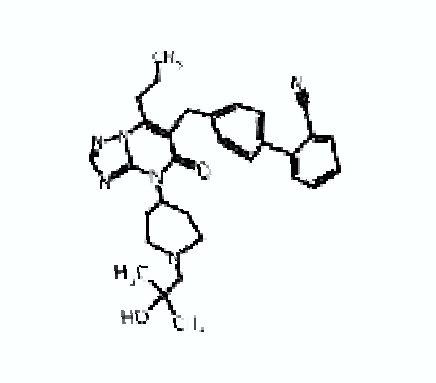 CCCc1c(Cc2ccc(-c3ccccc3C#N)cc2)c(=O)n(C2CCN(CC(C)(C)O)CC2)c2ncnn12